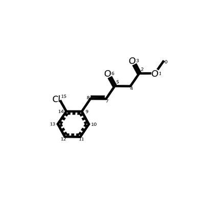 COC(=O)CC(=O)C=Cc1ccccc1Cl